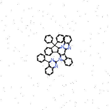 c1ccc(-c2nc(-n3c4ccccc4c4c3c3c(n5c6ccccc6nc45)C(c4ccccc4)(c4ccccc4)c4ccccc4-3)nc3ccccc23)cc1